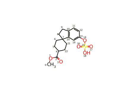 COC(=O)C1CCC2(CCc3ccc(OS(=O)(=O)O)cc32)CC1